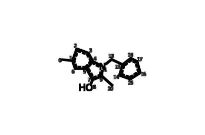 Cc1ccc2c(c1)c(O)c(C)n2Cc1ccccc1